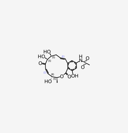 C[C@@H]1OC(=O)c2c(O)cc(NS(C)(=O)=O)cc2/C=C/C[C@H](O)[C@H](O)C(=O)/C=C\[C@H]1O